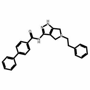 O=C(Nc1n[nH]c2c1CN(CCc1ccccc1)C2)c1ccc(-c2ccccc2)cc1